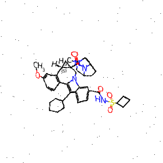 COc1ccc2c(c1)[C@@H]1CC1(C(=O)N1C3CCC1CN(C)C3)Cn1c-2c(C2CCCCC2)c2ccc(C(=O)NS(=O)(=O)C3CCC3)cc21